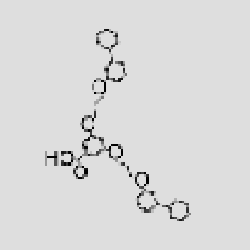 O=C(O)c1cc(OCCCOc2cccc(-c3ccccc3)c2)cc(OCCCOc2cccc(-c3ccccc3)c2)c1